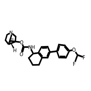 O=C(NC1CCCc2cc(-c3ccc(OC(F)F)cc3)ccc21)O[C@H]1CN2CCC1CC2